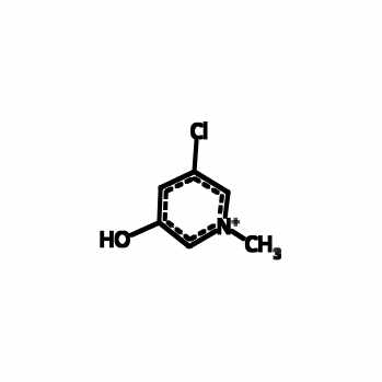 C[n+]1cc(O)cc(Cl)c1